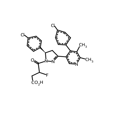 Cc1ncc(C2=NN(C(=O)C(F)CC(=O)O)[C@@H](c3ccc(Cl)cc3)C2)c(-c2ccc(Cl)cc2)c1C